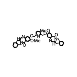 COc1cc2c(cc1OCc1cccc(COc3cc4c(cc3OC)C(=O)N3Cc5ccccc5C[C@H]3C=N4)n1)N=C[C@@H]1Cc3ccccc3CN1C2=O